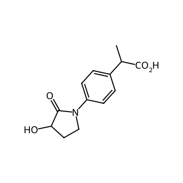 CC(C(=O)O)c1ccc(N2CCC(O)C2=O)cc1